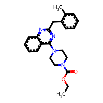 CCOC(=O)N1CCN(c2nc(Cc3ccccc3C)nc3ccccc23)CC1